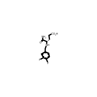 NC(=O)[C@H](CCC(=O)O)NCc1ccc(F)c(F)c1